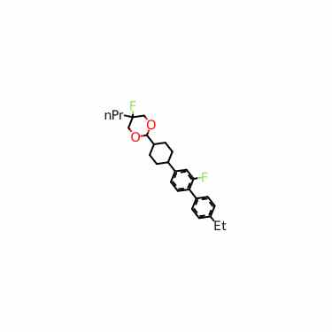 CCCC1(F)COC(C2CCC(c3ccc(-c4ccc(CC)cc4)c(F)c3)CC2)OC1